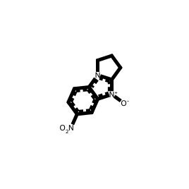 O=[N+]([O-])c1ccc2c(c1)[n+]([O-])c1n2CCC1